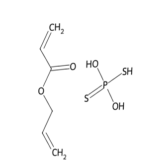 C=CCOC(=O)C=C.OP(O)(=S)S